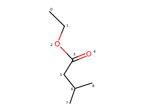 CCOC(=O)C[C](C)C